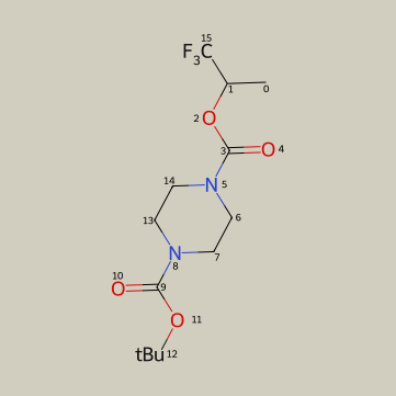 CC(OC(=O)N1CCN(C(=O)OC(C)(C)C)CC1)C(F)(F)F